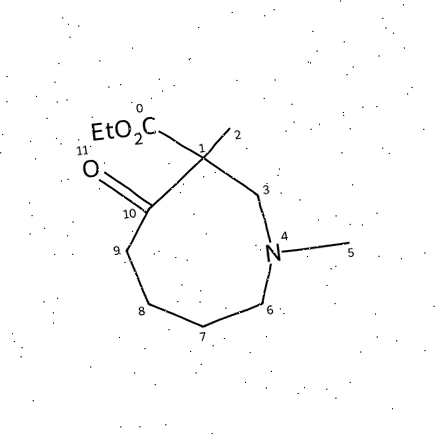 CCOC(=O)C1(C)CN(C)CCCCC1=O